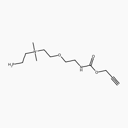 C#CCOC(=O)NCCOCC[N+](C)(C)CCP